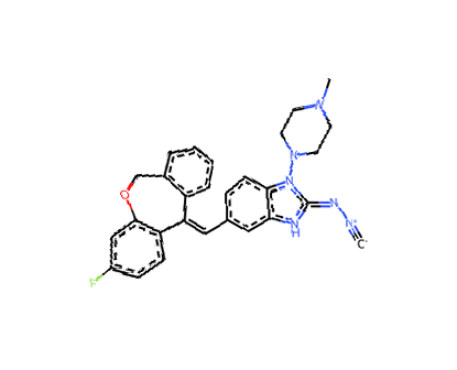 [C-]#[N+]/N=c1\[nH]c2cc(/C=C3\c4ccccc4COc4cc(F)ccc43)ccc2n1N1CCN(C)CC1